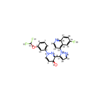 O=c1ccn(-c2cccc(OC(F)F)c2)nc1-c1ccnn1-c1ccnc2ccc(F)cc12